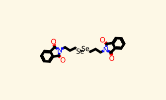 O=C1c2ccccc2C(=O)N1CCC[Se][Se]CCCN1C(=O)c2ccccc2C1=O